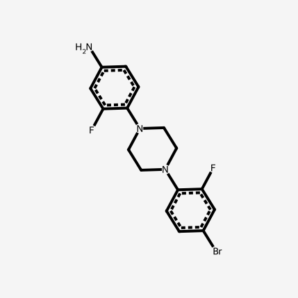 Nc1ccc(N2CCN(c3ccc(Br)cc3F)CC2)c(F)c1